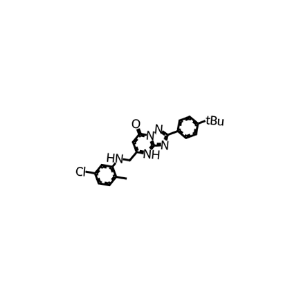 Cc1ccc(Cl)cc1NCc1cc(=O)n2nc(-c3ccc(C(C)(C)C)cc3)nc2[nH]1